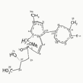 COP(=O)(/C=C\c1c(C)cc(C)cc1-c1ccc(F)c(C)c1)C[C@@H](O)CC(=O)O